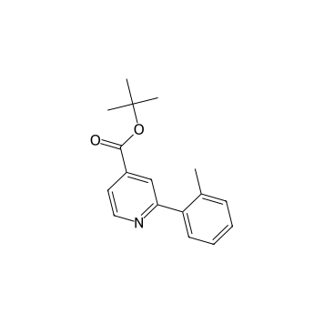 Cc1ccccc1-c1cc(C(=O)OC(C)(C)C)ccn1